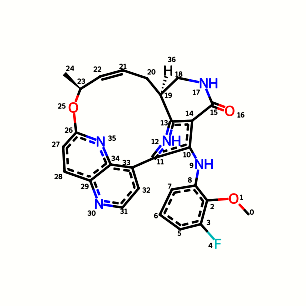 COc1c(F)cccc1Nc1c2[nH]c3c1C(=O)NC[C@@H]3C/C=C\[C@H](C)Oc1ccc3nccc-2c3n1